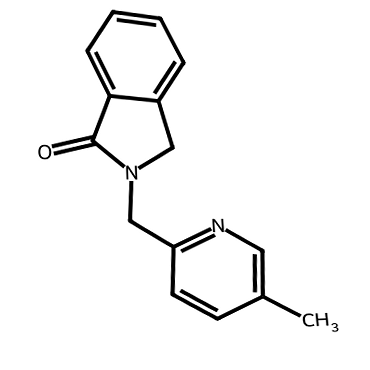 Cc1ccc(CN2Cc3ccccc3C2=O)nc1